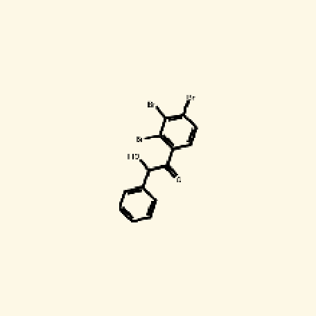 O=C(c1ccc(Br)c(Br)c1Br)C(O)c1ccccc1